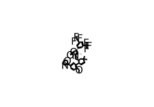 COc1ccc(C2=NCCO2)cc1C1C=CC(C)(C)CC1CN1C(=O)O[C@H](c2cc(C(F)(F)F)cc(C(F)(F)F)c2)[C@@H]1C